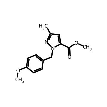 COC(=O)c1cc(C)nn1Cc1ccc(OC)cc1